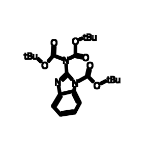 CC(C)(C)OC(=O)N(C(=O)OC(C)(C)C)c1nc2ccccc2n1C(=O)OC(C)(C)C